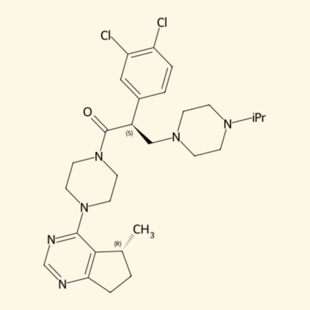 CC(C)N1CCN(C[C@@H](C(=O)N2CCN(c3ncnc4c3[C@H](C)CC4)CC2)c2ccc(Cl)c(Cl)c2)CC1